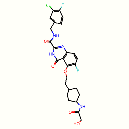 O=C(CO)NC1CCC(CCOc2c(F)ccc3nc(C(=O)NCc4ccc(F)c(Cl)c4)[nH]c(=O)c23)CC1